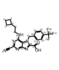 N#Cc1nc(NCCC2CCC2)c2c(n1)nc(C(=O)O)n2Cc1ccc(C(F)(F)F)cc1